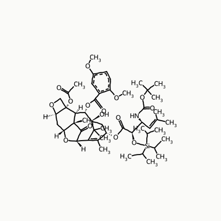 COc1ccc(OC)c(C(=O)O[C@H]2[C@@H]3[C@]4(OC(C)=O)CO[C@@H]4C[C@H]4O[C@H](C(=O)[C@@]34C)C3=C(C)[C@@H](OC(=O)[C@H](O[Si](C(C)C)(C(C)C)C(C)C)[C@H](C=C(C)C)NC(=O)OC(C)(C)C)C[C@]2(O)C3(C)C)c1